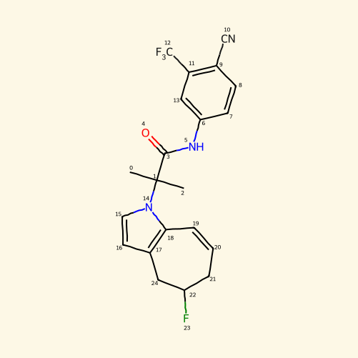 CC(C)(C(=O)Nc1ccc(C#N)c(C(F)(F)F)c1)n1ccc2c1C=CCC(F)C2